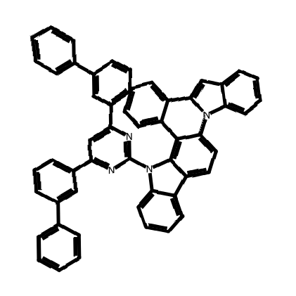 c1ccc(-c2cccc(-c3cc(-c4cccc(-c5ccccc5)c4)nc(-n4c5ccccc5c5ccc6c(c7ccccc7c7cc8ccccc8n76)c54)n3)c2)cc1